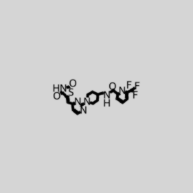 O=C1NC(=O)C(=Cc2ccnc(N3CCC(CNC(=O)c4cccc(C(F)(F)F)n4)CC3)n2)S1